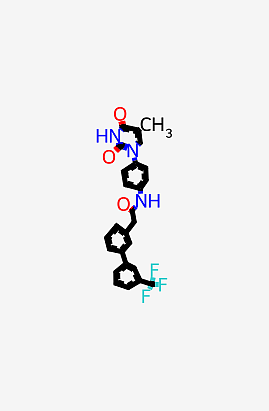 Cc1cn(-c2ccc(NC(=O)Cc3cccc(-c4cccc(C(F)(F)F)c4)c3)cc2)c(=O)[nH]c1=O